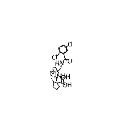 CC(C)C[C@H](NC(=O)CNC(=O)c1cc(Cl)ccc1Cl)C1(B(O)O)CCCC1C